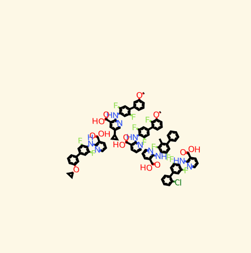 COc1cccc(-c2cc(F)c(Nc3ncc(C4CC4)cc3C(=O)O)cc2F)c1.COc1cccc(-c2cc(F)c(Nc3ncccc3C(=O)O)c(F)c2)c1F.Cc1c(-c2ccccc2)cc(F)c(Nc2ncccc2C(=O)O)c1F.O=C(O)c1cccnc1Nc1c(F)cc(-c2cccc(OC3CC3)c2)cc1F.O=C(O)c1cccnc1Nc1c(F)cc(-c2ccccc2Cl)cc1F